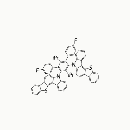 CC(C)c1c(-c2ccc(F)cc2)c(-n2c3ccccc3c3c4sc5ccccc5c4ccc32)c(C(C)C)c(-n2c3ccccc3c3c4sc5ccccc5c4ccc32)c1-c1ccc(F)cc1